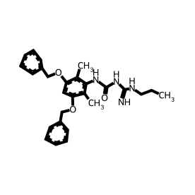 CCCNC(=N)NC(=O)Nc1c(C)c(OCc2ccccc2)cc(OCc2ccccc2)c1C